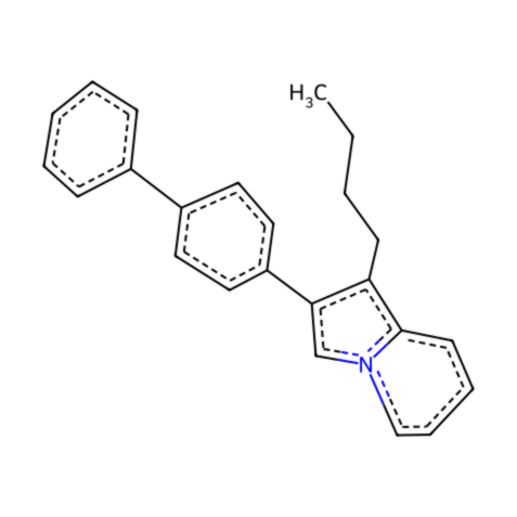 CCCCc1c(-c2ccc(-c3ccccc3)cc2)cn2ccccc12